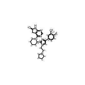 O=C1Cc2c(ncnc2N2CCCCC2c2nc(-c3ccc(F)c(C(F)(F)F)c3)cn2CCN2CCCC2)N1